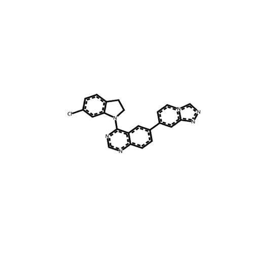 Clc1ccc2c(c1)N(c1ncnc3ccc(-c4ccn5cnnc5c4)cc13)CC2